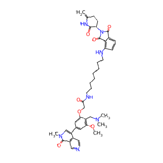 C=C1CCC(N2C(=O)c3cccc(NCCCCCCCCNC(=O)COc4cc(-c5cn(C)c(=O)c6cnccc56)cc(OC)c4CN(C)C)c3C2=O)C(=O)N1